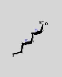 CC/C=C/C=[CH]/[Co]